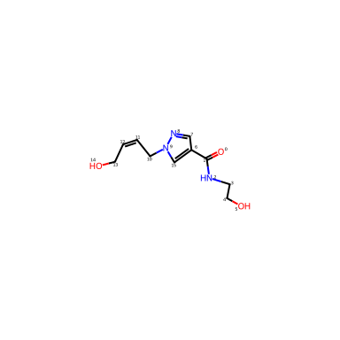 O=C(NCCO)c1cnn(C/C=C\CO)c1